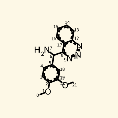 COc1ccc(C(N)c2nnnc3ccccc23)cc1OC